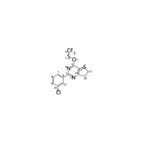 FC(F)(F)SOc1nc(-c2cccc(Cl)c2)nc2c1SCC2